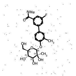 CNC(=O)c1cc(F)cc(-c2ccc(O[C@H]3O[C@H](CO)[C@@H](O)[C@H](O)[C@]3(C)O)c(C)c2)c1